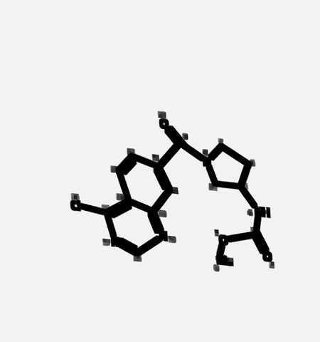 CC(C)(C)OC(=O)NC1CCN(C(=O)c2ccc3c(Cl)ncnc3c2)C1